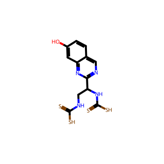 Oc1ccc2cnc(C(CNC(=S)S)NC(=S)S)nc2c1